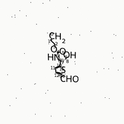 C=CCOC(=O)N[C@H](CO)c1ccc(C=O)s1